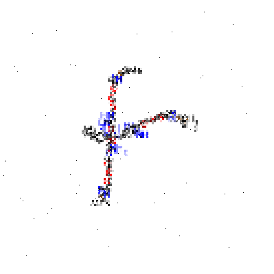 CSCSc1ncc(COCCOCCOCCN/C=C(\N)COCC(COC/C(N)=C/NCCOCCOCCOCc2cnc(SCSC)nc2)(NC2CCCC(Cc3ccccc3)CC2)C(=O)NCC2C3CC/C(N=N)=C(/NCCOCCOCCOCc4cnc(SC[S+](C)C)nc4)CCC32)cn1